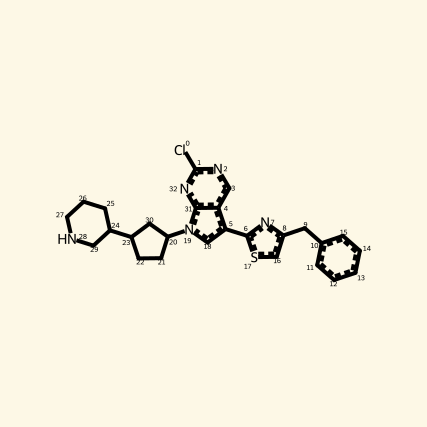 Clc1ncc2c(-c3nc(Cc4ccccc4)cs3)cn(C3CCC(C4CCCNC4)C3)c2n1